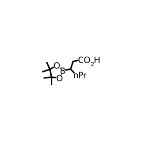 CCCC(CC(=O)O)B1OC(C)(C)C(C)(C)O1